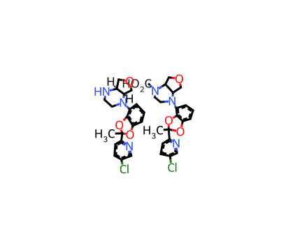 CC1(c2ccc(Cl)cn2)Oc2cccc(N3CCN(C(=O)O)C4COCC43)c2O1.CC1(c2ccc(Cl)cn2)Oc2cccc(N3CCN[C@H]4COC[C@H]43)c2O1